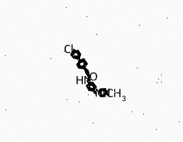 CN1CCN(Cc2ccc(NC(=O)C#Cc3ccc(-c4ccc(Cl)cc4)cc3)cc2)CC1